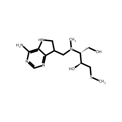 CSC[C@@H](O)[C@@H](CO)N(C)CC1CNc2c(N)ncnc21